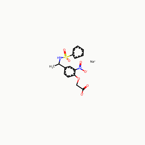 CC(NS(=O)(=O)c1ccccc1)c1ccc(OCC(=O)[O-])c([N+](=O)[O-])c1.[Na+]